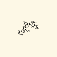 COc1cc(C(=O)N(C)C)ccc1-c1cc2nccc(-c3ccc(OC4CCOC[C@H]4F)c(C#N)c3)c2o1